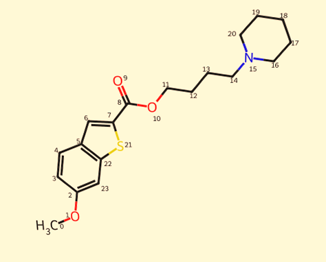 COc1ccc2cc(C(=O)OCCCCN3CCCCC3)sc2c1